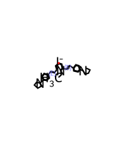 CC[n+]1c(/C=C/c2ccc(N3CCCC3)cc2)cccc1/C=C/c1ccc(N2CCCC2)cc1.[I-]